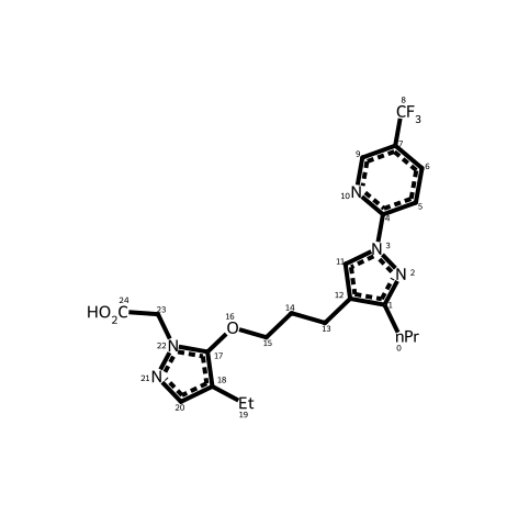 CCCc1nn(-c2ccc(C(F)(F)F)cn2)cc1CCCOc1c(CC)cnn1CC(=O)O